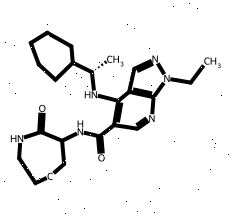 CCn1ncc2c(N[C@@H](C)C3CCCCC3)c(C(=O)NC3CCCCNC3=O)cnc21